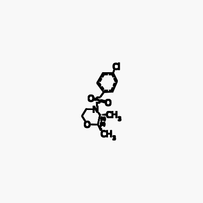 C[C@@H]1[C@@H](C)OCCN1S(=O)(=O)c1ccc(Cl)cc1